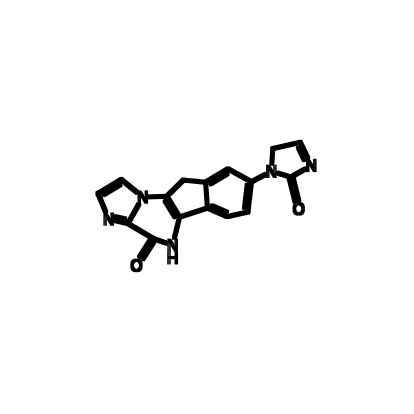 O=C1N=CCN1c1ccc2c(c1)Cc1c-2[nH]c(=O)c2nccn12